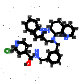 O=C(NCc1cccc(CN(Cc2cc3ccccc3[nH]2)C2CCCc3cccnc32)c1)c1ccnc(Cl)c1